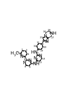 Cc1cccc(-c2nccc(Nc3ccnc(Nc4ccc(-c5cn6c(n5)CNCC6)cc4)n3)n2)n1